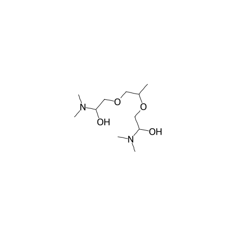 CC(COCC(O)N(C)C)OCC(O)N(C)C